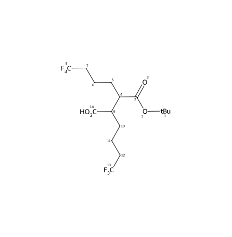 CC(C)(C)OC(=O)C(CCCC(F)(F)F)C(CCCC(F)(F)F)C(=O)O